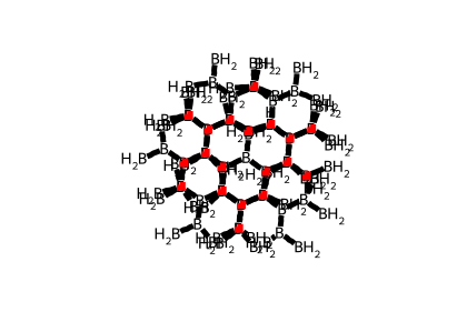 BBB(B(B)B)B(B(B)B)B(B(B(B(B)B)B(B)B)B(B(B)B)B(B)B)B(B(B(B(B(B)B)B(B)B)B(B(B)B)B(B)B)B(B(B(B)B)B(B)B)B(B(B)B)B(B)B)B(B(B(B(B)B)B(B)B)B(B(B)B)B(B)B)B(B(B(B)B)B(B)B)B(B(B)B)B(B)B